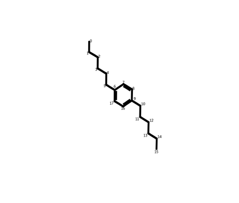 CCCCCCc1ccc(CCCCCC)cc1